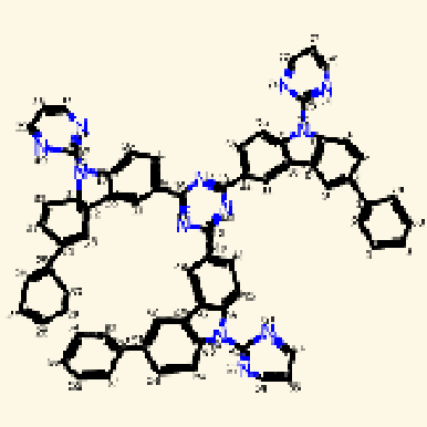 c1ccc(-c2ccc3c(c2)c2cc(-c4nc(-c5ccc6c(c5)c5cc(-c7ccccc7)ccc5n6-c5ncccn5)nc(-c5ccc6c(c5)c5cc(-c7ccccc7)ccc5n6-c5ncccn5)n4)ccc2n3-c2ncccn2)cc1